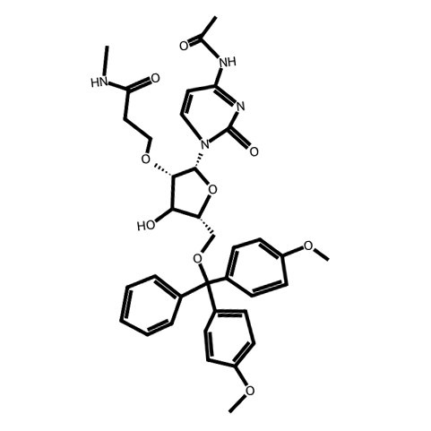 CNC(=O)CCO[C@H]1C(O)[C@@H](COC(c2ccccc2)(c2ccc(OC)cc2)c2ccc(OC)cc2)O[C@H]1n1ccc(NC(C)=O)nc1=O